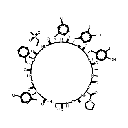 CC[C@H](C)[C@@H]1NC(=O)[C@H](Cc2ccc(Cl)cc2)N(C)C(=O)CNC(=O)[C@H](Cc2ccccc2)N(C)C(=O)[C@H](CCS(C)(=O)=O)NC(=O)[C@H](Cc2cccc(Cl)c2)NC(=O)[C@H](Cc2ccc(O)c(F)c2)NC(=O)[C@H](Cc2ccc(O)c(F)c2)NC(=O)[C@@H](C)N(C)C(=O)C[C@@H](C(=O)N2CCCC2)NC(=O)CNC1=O